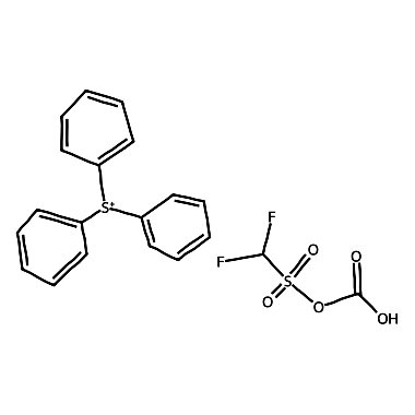 O=C(O)OS(=O)(=O)C(F)F.c1ccc([S+](c2ccccc2)c2ccccc2)cc1